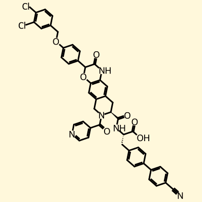 N#Cc1ccc(-c2ccc(C[C@H](NC(=O)[C@@H]3Cc4cc5c(cc4CN3C(=O)c3ccncc3)OC(c3ccc(OCc4ccc(Cl)c(Cl)c4)cc3)C(=O)N5)C(=O)O)cc2)cc1